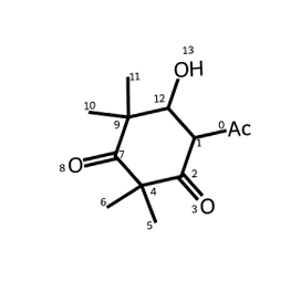 CC(=O)C1C(=O)C(C)(C)C(=O)C(C)(C)C1O